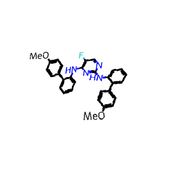 COc1ccc(-c2ccccc2Nc2ncc(F)c(Nc3ccccc3-c3ccc(OC)cc3)n2)cc1